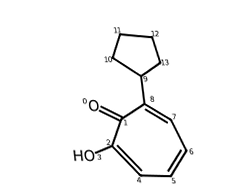 O=c1c(O)ccccc1C1CCCC1